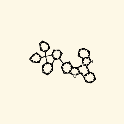 c1ccc(C2(c3ccccc3)c3ccccc3-c3c(-c4ccc5oc6c7ccccc7c7nc8ccccc8n7c6c5c4)cccc32)cc1